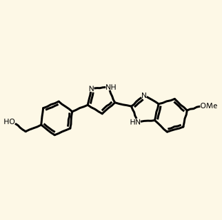 COc1ccc2[nH]c(-c3cc(-c4ccc(CO)cc4)n[nH]3)nc2c1